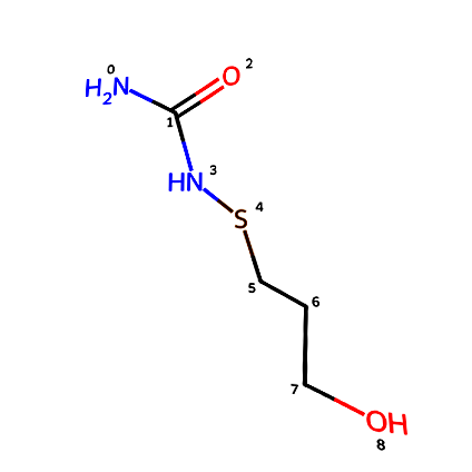 NC(=O)NSCCCO